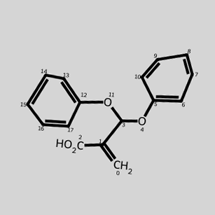 C=C(C(=O)O)C(Oc1ccccc1)Oc1ccccc1